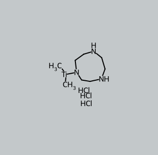 Cl.Cl.Cl.[CH3][Ti]([CH3])[N]1CCNCCNCC1